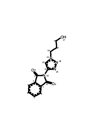 O=C1c2ccccc2C(=O)N1c1cn(CCCO)nn1